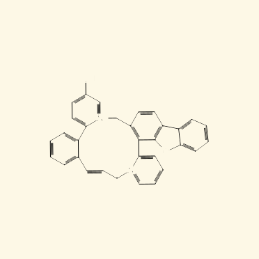 Cc1ccc2[n+](c1)Cc1ccc3c(oc4ccccc43)c1-c1cccc[n+]1C/C=C/c1ccccc1-2